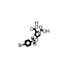 O=C(O)C1CC(OS(=O)(=O)c2ccc(Br)cc2)CN1C(=O)O